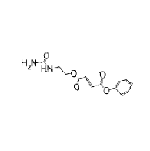 NC(=O)NCCOC(=O)/C=C/C(=O)Oc1ccccc1